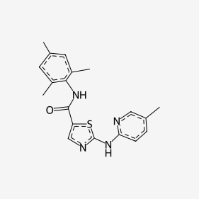 Cc1ccc(Nc2ncc(C(=O)Nc3c(C)cc(C)cc3C)s2)nc1